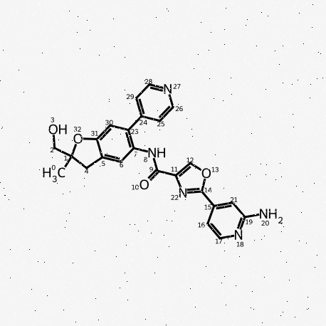 CC1(CO)Cc2cc(NC(=O)c3coc(-c4ccnc(N)c4)n3)c(-c3ccncc3)cc2O1